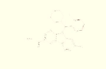 COC(=O)c1cnc2c(c1)c1ncc(Br)cc1n2C(c1ncccc1F)C1CCOCC1